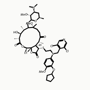 CC[C@H]1OC(=O)[C@H](C)[C@@H](O)[C@H](C)C(OC2O[C@H](C)C[C@H](N(C)C)[C@H]2OC)[C@](C)(OC)CCC(=O)[C@H](C)[C@H]2[C@H](SCCN(Cc3c(Cl)cncc3Cl)c3ccc(OC)c(OC4CCCC4)c3)C(=O)O[C@@]21C